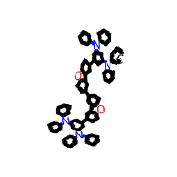 C1=C(c2ccc3oc4ccc(-c5ccc6oc7ccc(-c8cc(N(c9ccccc9)c9ccccc9)cc(N(c9ccccc9)c9ccccc9)c8)cc7c6c5)cc4c3c2)CC(N(c2ccccc2)c2ccccc2)C=C1N(c1ccccc1)c1ccccc1